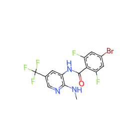 CNc1ncc(C(F)(F)F)cc1NC(=O)c1c(F)cc(Br)cc1F